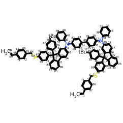 C=Cc1ccc(CSc2ccc(C3(c4ccc(C(C)(C)C)cc4)c4ccccc4-c4ccc(N(c5ccccc5)c5ccc(-c6ccc(N(c7ccccc7)c7ccc8c(c7)C(c7ccc(SCc9ccc(C=C)cc9)cc7)(c7ccc(C(C)(C)C)cc7)c7ccccc7-8)cc6)cc5)cc43)cc2)cc1